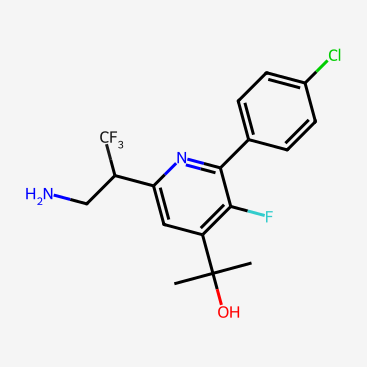 CC(C)(O)c1cc(C(CN)C(F)(F)F)nc(-c2ccc(Cl)cc2)c1F